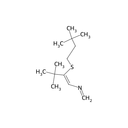 C=N/C=C(\SCCC(C)(C)C)C(C)(C)C